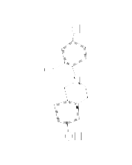 Oc1ccc2c(c1)CCN(c1ccc(Cl)cc1Cl)C2